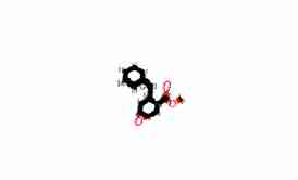 COC(=O)C1CC2OC2CC1CC1CCCCC1